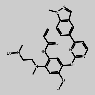 C=CC(=O)Nc1cc(Nc2nccc(-c3ccc4c(cnn4C)c3)n2)c(OCC)cc1N(C)CCN(C)CC